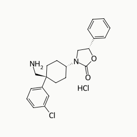 Cl.NC[C@]1(c2cccc(Cl)c2)CC[C@@H](N2C[C@H](c3ccccc3)OC2=O)CC1